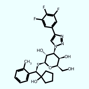 Cc1ccccc1[C@@H](S[C@@H]1O[C@H](CO)[C@H](O)[C@H](n2cc(-c3cc(F)c(F)c(F)c3)nn2)[C@H]1O)C1(O)CCCC1